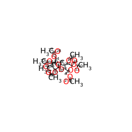 CC(=O)OCC1O[C@@H](OC(C)=O)C(OC(C)=O)[C@@H](C)[C@@H]1O[C@@H]1OC(COC(C)=O)[C@H](OC(C)=O)[C@H](C)C1OC(C)=O